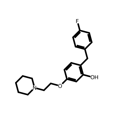 Oc1cc(OCCN2CCCCC2)ccc1Cc1ccc(F)cc1